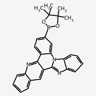 CC1(C)OB(c2ccc3c4nc5ccccc5cc4c4nc5ccccc5n4c3c2)OC1(C)C